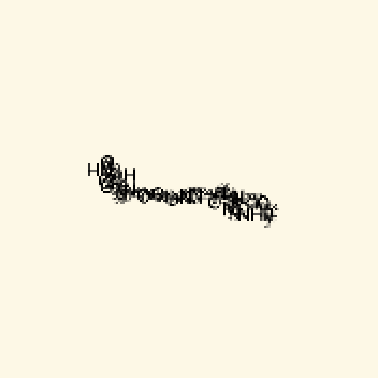 Nc1ncnc2c1c(-c1ccc(Oc3ccccc3)cc1)nn2[C@@H]1CCCN(C(=O)CCCN2CCN(CCOCCOCCOCCNc3cccc4c3CN(C3CCC(=O)NC3=O)C4=O)CC2)C1